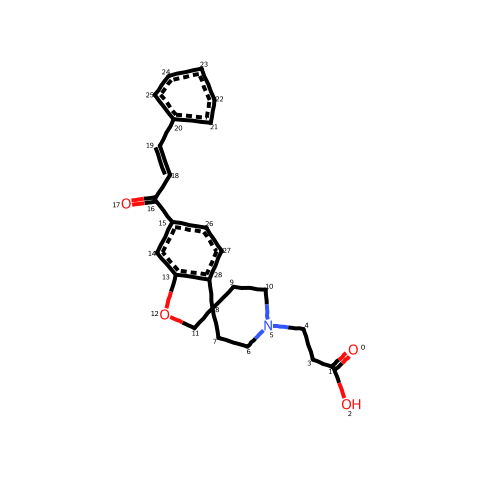 O=C(O)CCN1CCC2(CC1)COc1cc(C(=O)/C=C/c3ccccc3)ccc12